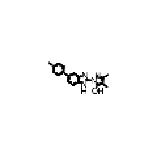 Cc1ccc(-c2ccc3[nH]c(-n4nc(C)c(C)c4O)nc3c2)cc1